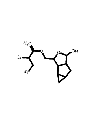 C=C(OCC1OC(O)C2CC3CC3C12)C(CC)CC(C)C